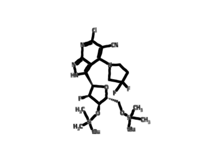 CC(C)(C)[Si](C)(C)OC[C@H]1O[C@H](c2[nH]nc3nc(Cl)c(C#N)c(N4CCC(F)(F)C4)c23)[C@H](F)[C@@H]1O[Si](C)(C)C(C)(C)C